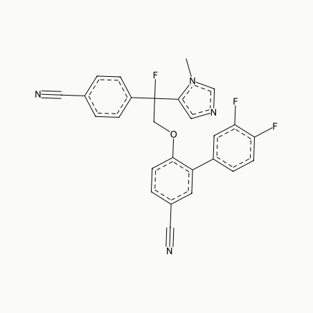 Cn1cncc1C(F)(COc1ccc(C#N)cc1-c1ccc(F)c(F)c1)c1ccc(C#N)cc1